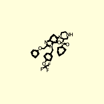 O=S(=O)(c1ccccc1)C1CNCCN1c1ccc2nc(COc3ccccc3)n(Cc3ccc(OC(F)(F)F)cc3)c2c1